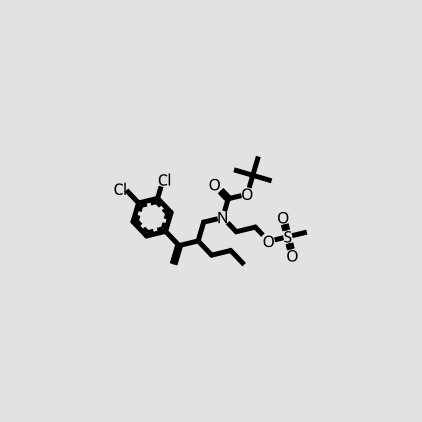 C=C(c1ccc(Cl)c(Cl)c1)C(CCC)CN(CCOS(C)(=O)=O)C(=O)OC(C)(C)C